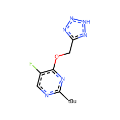 CC(C)(C)c1ncc(F)c(OCc2nn[nH]n2)n1